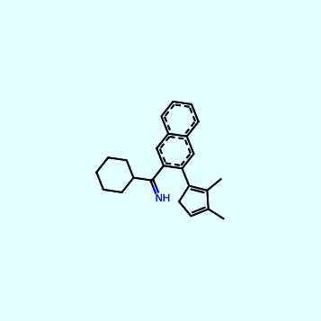 CC1=CCC(c2cc3ccccc3cc2C(=N)C2CCCCC2)=C1C